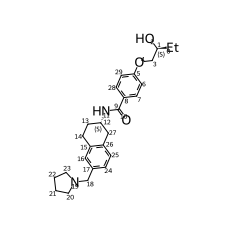 CC[C@H](O)COc1ccc(C(=O)N[C@H]2CCc3cc(CN4CCCC4)ccc3C2)cc1